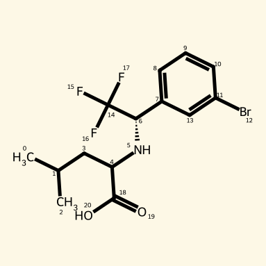 CC(C)CC(N[C@@H](c1cccc(Br)c1)C(F)(F)F)C(=O)O